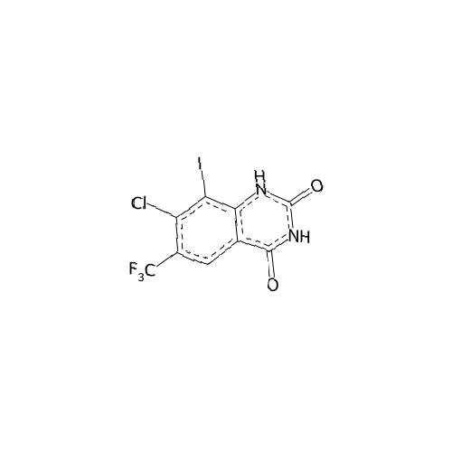 O=c1[nH]c(=O)c2cc(C(F)(F)F)c(Cl)c(I)c2[nH]1